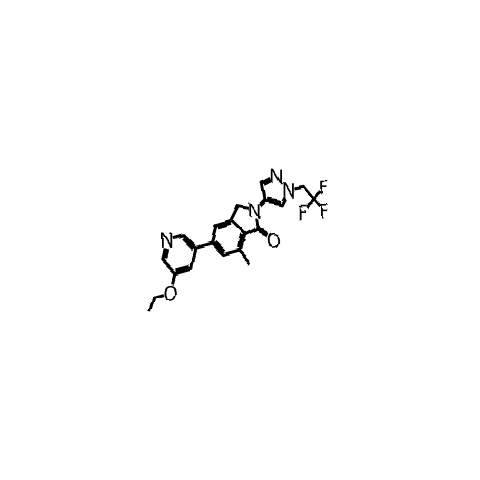 CCOc1cncc(-c2cc(C)c3c(c2)CN(c2cnn(CC(F)(F)F)c2)C3=O)c1